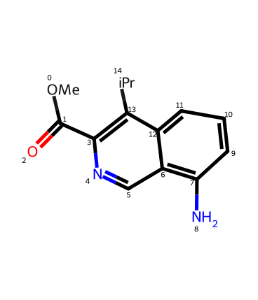 COC(=O)c1ncc2c(N)cccc2c1C(C)C